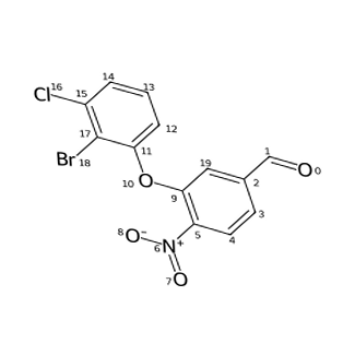 O=Cc1ccc([N+](=O)[O-])c(Oc2cccc(Cl)c2Br)c1